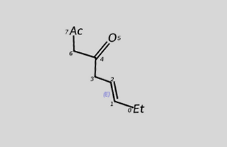 CC/C=C/CC(=O)CC(C)=O